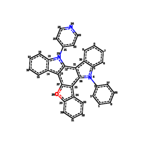 c1ccc(-n2c3ccccc3c3c4c(c5ccccc5n4-c4ccncc4)c4oc5ccccc5c4c32)cc1